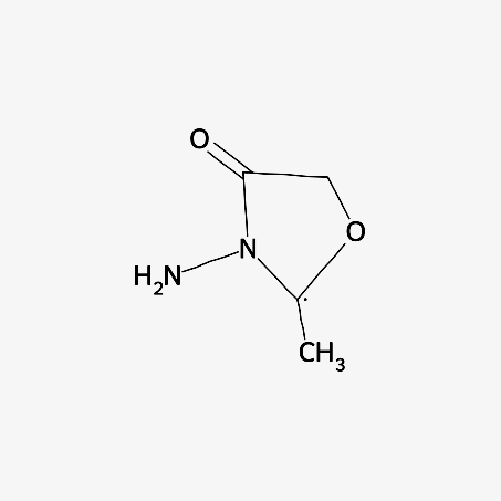 C[C]1OCC(=O)N1N